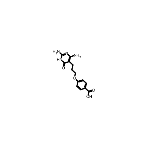 Nc1nc(N)c(CCCOc2ccc(C(=O)O)cc2)c(=O)[nH]1